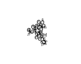 COC(=O)C(CC1S[C@@H]2C(NC(=O)Cc3cccs3)C(=O)N2CC1(COC(C)=O)C(=O)O)C(=O)OC